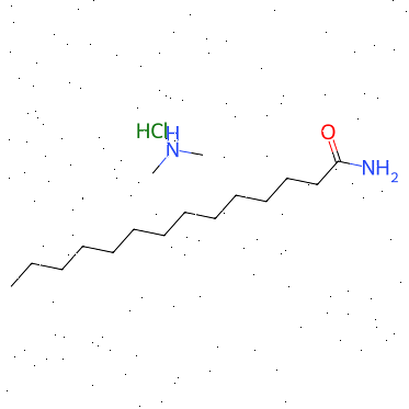 CCCCCCCCCCCCCC(N)=O.CNC.Cl